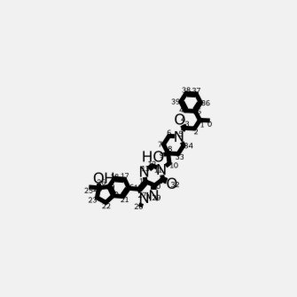 CC(CC(=O)N1CCC(O)(Cn2cnc3c(-c4ccc5c(c4)CCC5(C)O)n(C)nc3c2=O)CC1)c1ccccc1